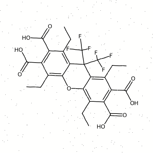 CCc1c2c(c(CC)c(C(=O)O)c1C(=O)O)C(C(F)(F)F)(C(F)(F)F)c1c(CC)c(C(=O)O)c(C(=O)O)c(CC)c1O2